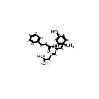 C[C@H](O)COC[C@H](CC1(C)C=CC(O)=CC1)NC(=O)CCc1ccccc1